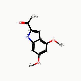 CCCCOc1cc(OC(C)C)cc2[nH]c(C(=O)OC)cc12